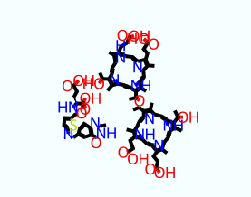 CC1=C(CCC(=O)O)c2cc3[nH]c(cc4nc(cc5[nH]c(cc1n2)c(C)c5C(C)OC(C)C1=C(C)c2cc5[nH]c(cc6nc(cc7[nH]c(cc1n2)c(C)c7CCC(=O)O)C(CCC(=O)O)=C6C)c(C)c5C(C)O)C(C)=C4C(C)O)c(C)c3CCC(=O)O.Cc1nc2ccc(CN(C)c3ccc(C(=O)N[C@@H](CCC(=O)O)C(=O)O)s3)cc2c(=O)[nH]1